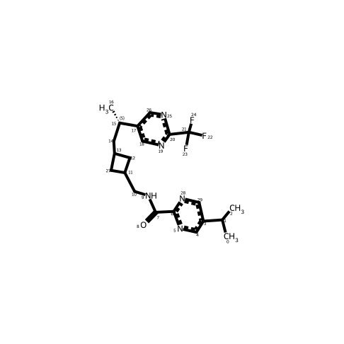 CC(C)c1cnc(C(=O)NCC2CC(C[C@H](C)c3cnc(C(F)(F)F)nc3)C2)nc1